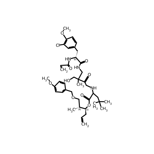 C=CC[C@H](OC(=O)C(CC(C)(C)C)NCC(=O)C(C)(CO)CNC(=O)[C@@H](Cc1ccc(OC)c(Cl)c1)NC(=O)C=C)[C@H](C)COCc1ccc(OC)cc1